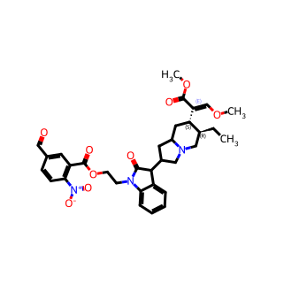 CC[C@H]1CN2CC(C3C(=O)N(CCOC(=O)c4cc(C=O)ccc4[N+](=O)[O-])c4ccccc43)CC2C[C@@H]1/C(=C\OC)C(=O)OC